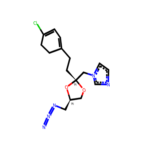 [N-]=[N+]=NC[C@@H]1CO[C@@](CCC2=CC=C(Cl)CC2)(Cn2ccnc2)O1